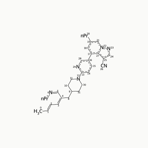 C/C=C/C=C(\C=N/CCC)CC1CCN(c2ccc(-c3cc(CCC)cn4ncc(C#N)c34)cn2)CC1